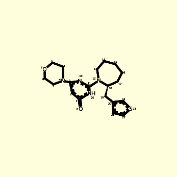 O=c1cc(N2CCOCC2)nc(N2CCCCC[C@H]2Cc2ccsc2)[nH]1